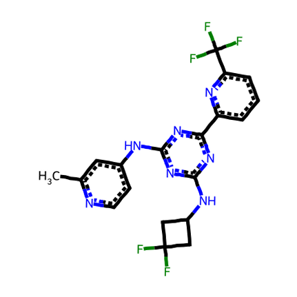 Cc1cc(Nc2nc(NC3CC(F)(F)C3)nc(-c3cccc(C(F)(F)F)n3)n2)ccn1